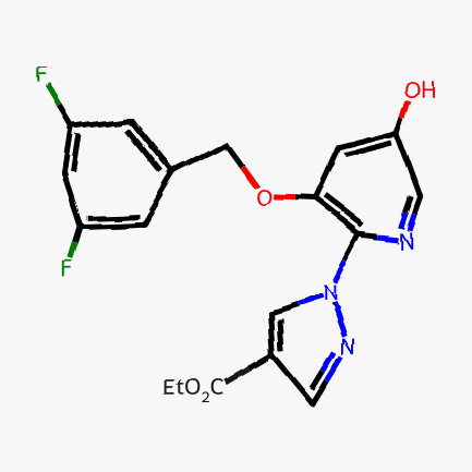 CCOC(=O)c1cnn(-c2ncc(O)cc2OCc2cc(F)cc(F)c2)c1